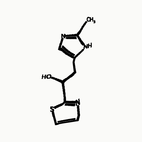 Cc1ncc(CC(O)c2nccs2)[nH]1